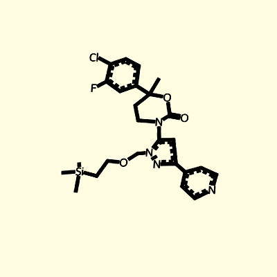 CC1(c2ccc(Cl)c(F)c2)CCN(c2cc(-c3ccncc3)nn2COCC[Si](C)(C)C)C(=O)O1